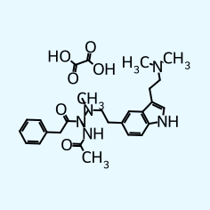 CC(=O)NN(C(=O)Cc1ccccc1)N(C)CCc1ccc2[nH]cc(CCN(C)C)c2c1.O=C(O)C(=O)O